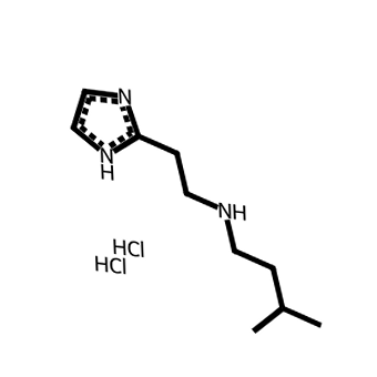 CC(C)CCNCCc1ncc[nH]1.Cl.Cl